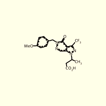 COc1ccc(Cn2ncc3c(c(C(F)(F)F)nn3C(C)CC(=O)O)c2=O)cc1